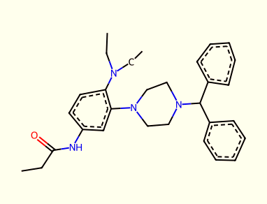 CCC(=O)Nc1ccc(N(CC)CC)c(N2CCN(C(c3ccccc3)c3ccccc3)CC2)c1